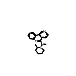 CC1CCCCN1N(C)C(=O)c1ccn[c]c1-c1ccccc1